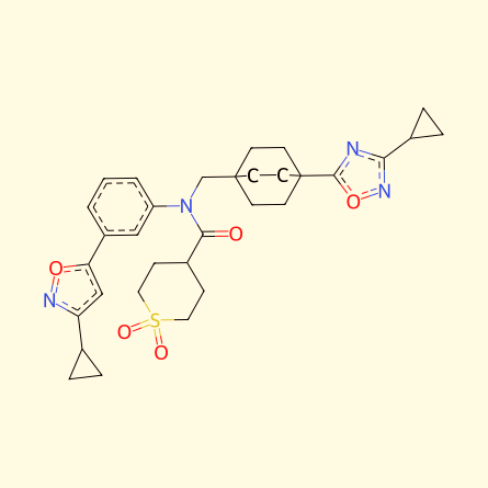 O=C(C1CCS(=O)(=O)CC1)N(CC12CCC(c3nc(C4CC4)no3)(CC1)CC2)c1cccc(-c2cc(C3CC3)no2)c1